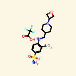 NS(=O)(=O)c1ccc(NCC2CCN(C3COC3)CC2)c([N+](=O)[O-])c1.O=C(O)C(F)(F)F